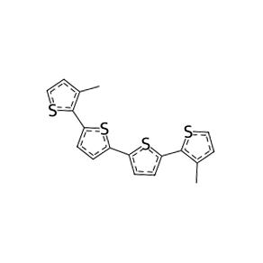 Cc1ccsc1-c1ccc(-c2ccc(-c3sccc3C)s2)s1